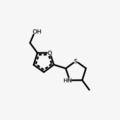 CC1CSC(c2ccc(CO)o2)N1